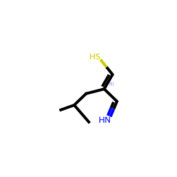 CC(C)C/C(C=N)=C\S